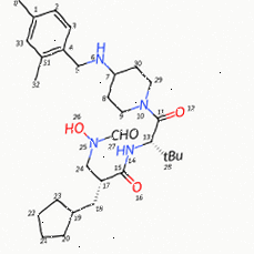 Cc1ccc(CNC2CCN(C(=O)[C@@H](NC(=O)[C@H](CC3CCCC3)CN(O)C=O)C(C)(C)C)CC2)c(C)c1